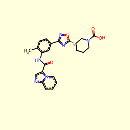 Cc1ccc(-c2noc([C@H]3CCCN(C(=O)O)C3)n2)cc1NC(=O)c1cnc2ccccn12